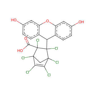 O=C(O)C1(Cl)C2(Cl)CC(Cl)(C(Cl)=C2Cl)C1(Cl)C1c2ccc(O)cc2Oc2cc(O)ccc21